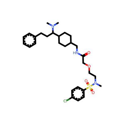 CN(C)C(CCc1ccccc1)C1CCC(CNC(=O)COCCN(C)S(=O)(=O)c2ccc(Cl)cc2)CC1